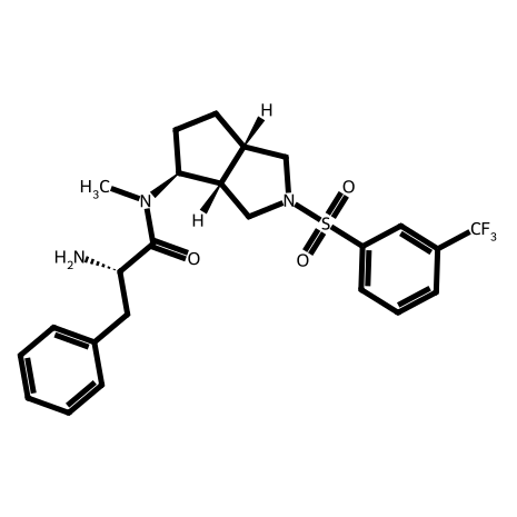 CN(C(=O)[C@@H](N)Cc1ccccc1)[C@H]1CC[C@@H]2CN(S(=O)(=O)c3cccc(C(F)(F)F)c3)C[C@@H]21